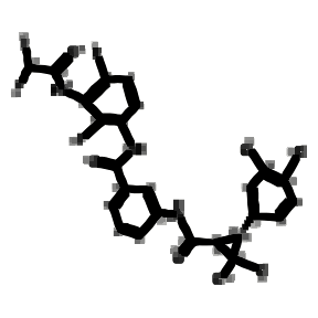 O=C(Nc1ccc(F)c(NC(=O)C(F)F)c1F)c1cccc(NC(=O)[C@H]2[C@H](c3ccc(Cl)c(Cl)c3)C2(Cl)Cl)c1